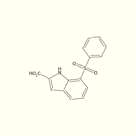 O=C(O)c1cc2cccc(S(=O)(=O)c3ccccc3)c2[nH]1